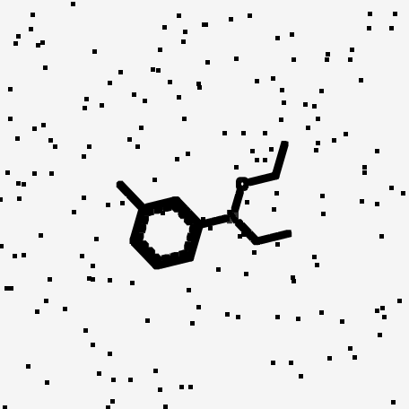 CCON(CC)c1cccc(C)c1